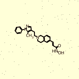 Cc1c(CCN2CCc3cc(C=CC(=O)NO)ccc3C2)cnn1-c1ccccc1